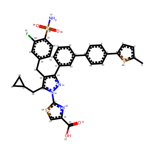 Cc1ccc(-c2ccc(-c3cccc(-c4nn(-c5nc(C(=O)O)cs5)c(CC5CC5)c4Cc4ccc(S(N)(=O)=O)c(F)c4)c3)cc2)s1